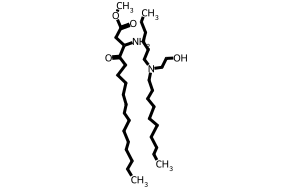 CCCCCCCCCCCCCC(=O)C(N)CC(=O)OC.CCCCCCCCCCN(CCO)CCCCCC